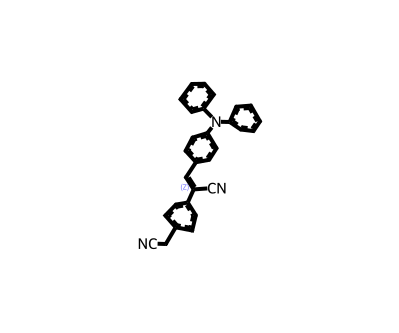 N#CCc1ccc(/C(C#N)=C/c2ccc(N(c3ccccc3)c3ccccc3)cc2)cc1